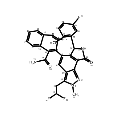 Cn1nc2c3c(c(-c4c(F)cc5ccccc5c4C(N)=O)cc2c1CC(F)F)C(c1cc(F)ccc1Cl)NC3=O